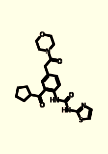 O=C(Nc1nccs1)Nc1ccc(CC(=O)N2CCOCC2)cc1C(=O)C1CCCC1